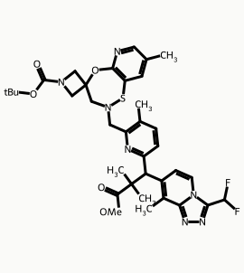 COC(=O)C(C)(C)C(c1ccc(C)c(CN2CC3(CN(C(=O)OC(C)(C)C)C3)Oc3ncc(C)cc3S2)n1)c1ccn2c(C(F)F)nnc2c1C